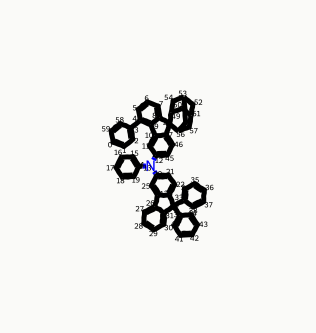 c1ccc(-c2cccc3c2-c2cc(N(c4ccccc4)c4ccc5c(c4)-c4ccccc4C5(c4ccccc4)c4ccccc4)ccc2C32C3CC4CC(C3)CC2C4)cc1